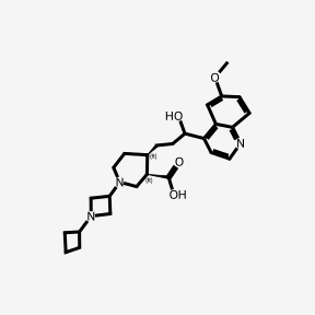 COc1ccc2nccc(C(O)CC[C@@H]3CCN(C4CN(C5CCC5)C4)C[C@@H]3C(=O)O)c2c1